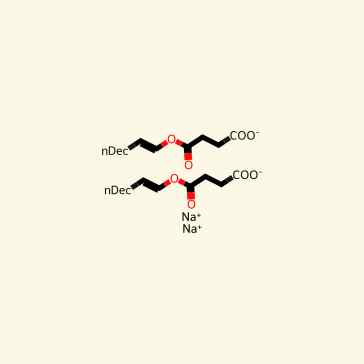 CCCCCCCCCCC=COC(=O)CCC(=O)[O-].CCCCCCCCCCC=COC(=O)CCC(=O)[O-].[Na+].[Na+]